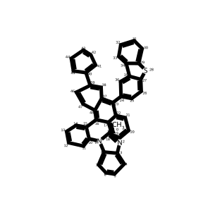 Cc1nc2ccccc2n1-c1ccccc1-c1c2ccccc2c(-c2ccc3sc4ccccc4c3c2)c2cc(-c3ccccc3)ccc12